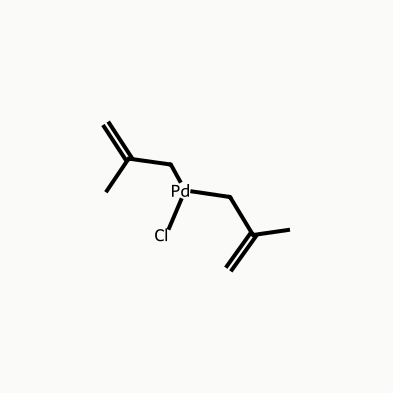 C=C(C)[CH2][Pd]([Cl])[CH2]C(=C)C